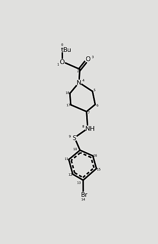 CC(C)(C)OC(=O)N1CCC(NSc2ccc(Br)cc2)CC1